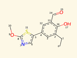 CCc1cc(-c2cnc(OC)s2)cc(C=O)c1O